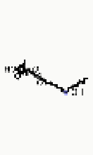 CCCCCC[C@@H](O)C/C=C\CCCCCCCC(=O)OCC(=O)NCc1cc(OC)c(O)cc1I